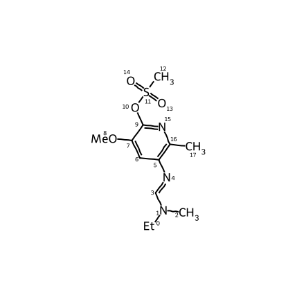 CCN(C)/C=N/c1cc(OC)c(OS(C)(=O)=O)nc1C